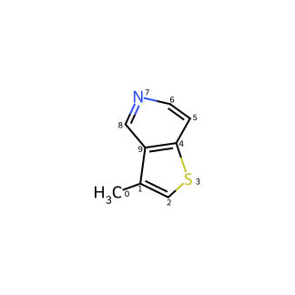 Cc1csc2ccncc12